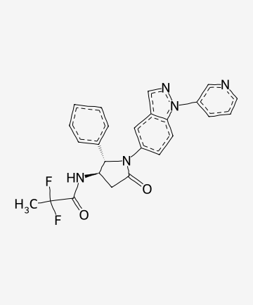 CC(F)(F)C(=O)N[C@@H]1CC(=O)N(c2ccc3c(cnn3-c3cccnc3)c2)[C@H]1c1ccccc1